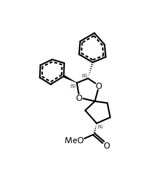 COC(=O)[C@H]1CCC2(C1)O[C@@H](c1ccccc1)[C@H](c1ccccc1)O2